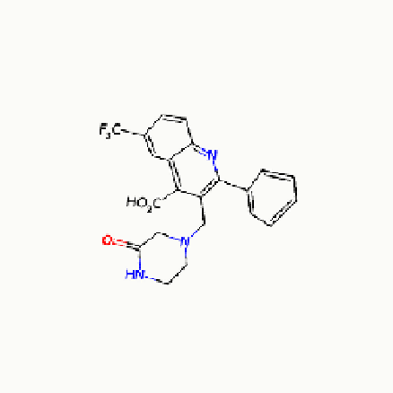 O=C1CN(Cc2c(-c3ccccc3)nc3ccc(C(F)(F)F)cc3c2C(=O)O)CCN1